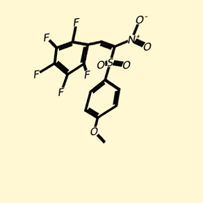 COc1ccc(S(=O)(=O)C(=Cc2c(F)c(F)c(F)c(F)c2F)[N+](=O)[O-])cc1